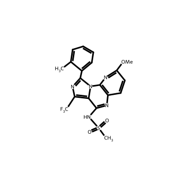 COc1ccc2nc(NS(C)(=O)=O)c3c(C(F)(F)F)nc(-c4ccccc4C)n3c2n1